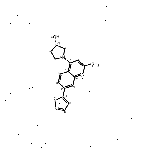 Nc1cc(N2CC[C@H](O)C2)c2ccc(-c3ccn[nH]3)cc2n1